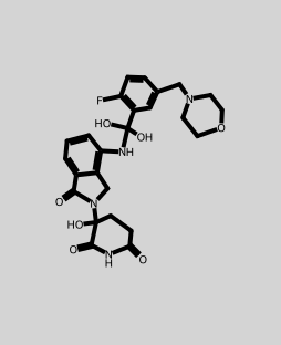 O=C1CCC(O)(N2Cc3c(NC(O)(O)c4cc(CN5CCOCC5)ccc4F)cccc3C2=O)C(=O)N1